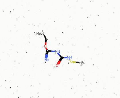 CCCCCCCCOC(=N)NC(=O)NSCCCC